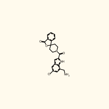 NCc1cc(Cl)cc2cc(C(=O)N3CCC4(CC3)OC(=O)c3ccccc34)[nH]c12